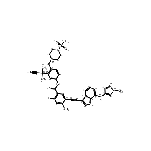 Cc1cc(F)c(C(=O)Nc2ccc(CN3CCN(S(C)(=O)=O)CC3)c(C(C)(C)C#N)c2)cc1C#Cc1cnc2c(Nc3cnn(C)c3)cccn12